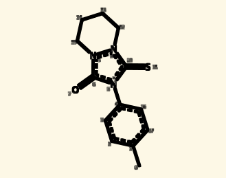 Cc1ccc(-n2c(=O)n3n(c2=S)CCCC3)cc1